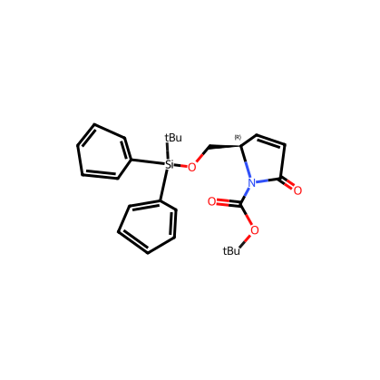 CC(C)(C)OC(=O)N1C(=O)C=C[C@@H]1CO[Si](c1ccccc1)(c1ccccc1)C(C)(C)C